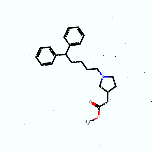 COC(=O)CC1CCN(CCCCC(c2ccccc2)c2ccccc2)C1